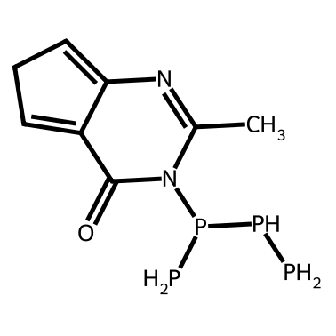 Cc1nc2c(c(=O)n1P(P)PP)=CCC=2